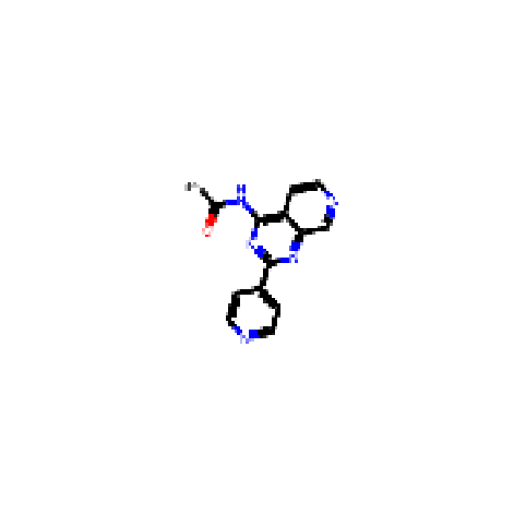 CC(C)C(=O)Nc1nc(-c2ccncc2)nc2cnccc12